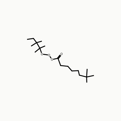 CCC(C)(C)C(C)(C)OOOC(=O)CCCCCC(C)(C)C